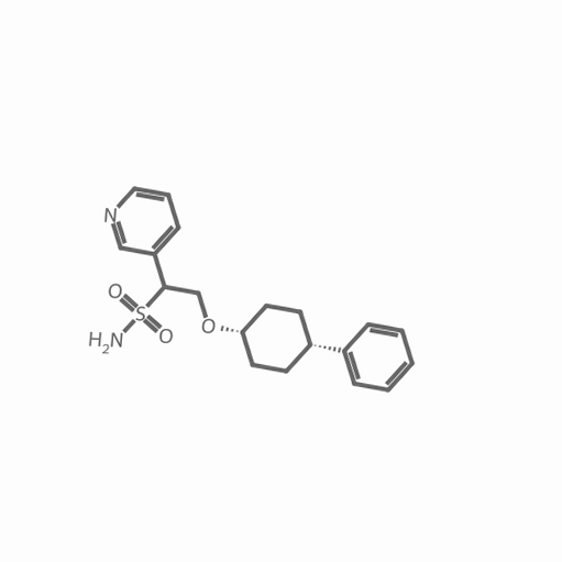 NS(=O)(=O)C(CO[C@H]1CC[C@@H](c2ccccc2)CC1)c1cccnc1